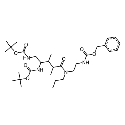 CCCN(CCNC(=O)OCc1ccccc1)C(=O)C(C)C(C)C(CNC(=O)OC(C)(C)C)NC(=O)OC(C)(C)C